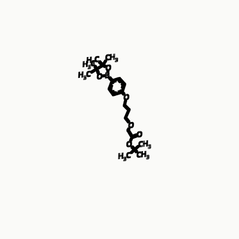 CC(C)(C)OC(=O)COCCCOc1ccc(B2OC(C)(C)C(C)(C)O2)cc1